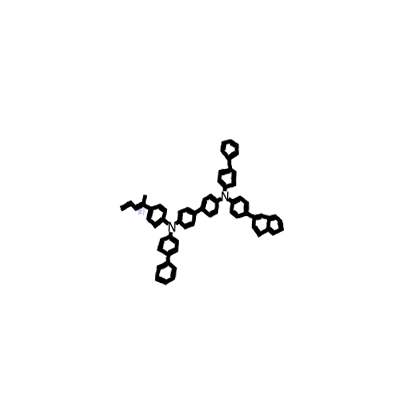 C=C/C=C(\C)c1ccc(N(c2ccc(-c3ccccc3)cc2)c2ccc(-c3ccc(N(c4ccc(-c5ccccc5)cc4)c4ccc(-c5ccc6ccccc6c5)cc4)cc3)cc2)cc1